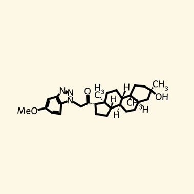 COc1ccc2c(c1)nnn2CC(=O)[C@H]1CC[C@H]2[C@@H]3CC[C@@H]4C[C@](C)(O)CC[C@]4(C)[C@H]3CC[C@]12C